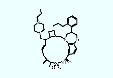 CCCc1ccccc1C1COc2ccc3cc2N(C1)CC1CCC1C(CN1CCN(CCC)CC1)/C=C/CC(C)C(C)S(=O)(=O)NC3=O